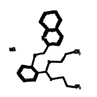 CCCSC(SCCC)c1ccccc1OCc1ccc2ccccc2n1.Cl